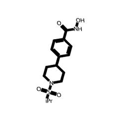 CC(C)S(=O)(=O)N1CCC(c2ccc(C(=O)NO)cc2)CC1